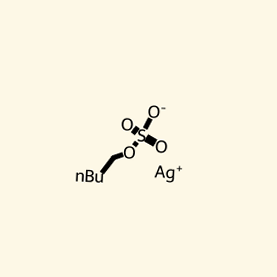 CCCCCOS(=O)(=O)[O-].[Ag+]